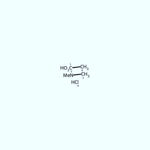 CC(=O)O.CNC.Cl